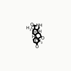 C[C@]12CCC(=O)C=C1C(=O)C[C@@H]1[C@H]2CC[C@]2(C)C(=O)NC[C@@H]12